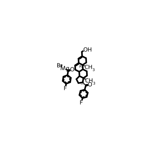 C[C@]12CCC(CO)=CC1=CCC1C2CC[C@@]2(C)C1CC[C@@H]2C(=O)c1ccc(F)cc1.O=[C]([Mg][Br])c1ccc(F)cc1